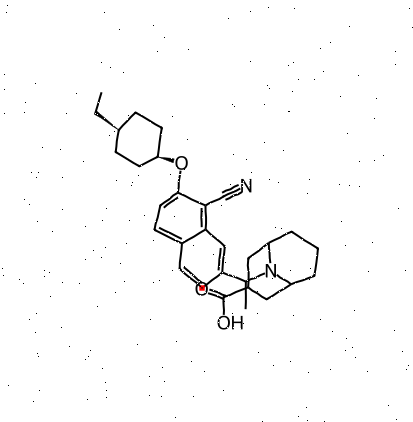 CC[C@H]1CC[C@@H](Oc2ccc3ccc(C(C)N4C5CCCC4CC(C(=O)O)C5)cc3c2C#N)CC1